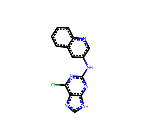 Clc1nc(Nc2cnc3ccccc3c2)nc2[nH]cnc12